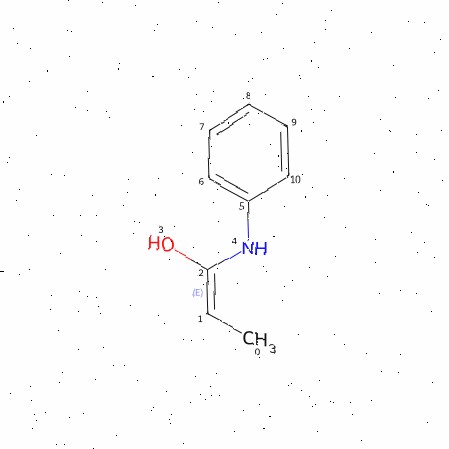 C/C=C(/O)Nc1ccccc1